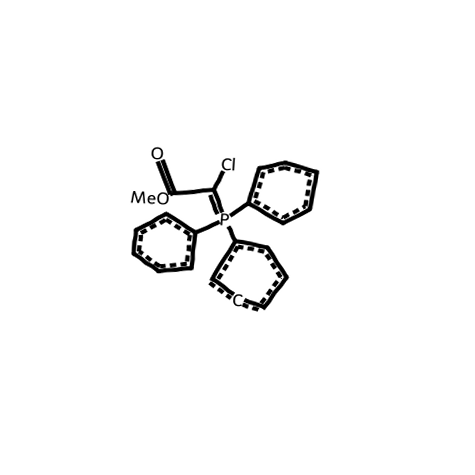 COC(=O)C(Cl)=P(c1ccccc1)(c1ccccc1)c1ccccc1